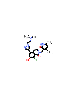 Cc1cc(C)c(CN2CCc3c(-c4cnn(CCN(C)C)c4)cc(O)c(Cl)c3C2=O)c(=O)[nH]1